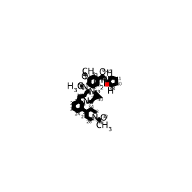 COc1cc(C(=O)N2C[C@H]3CC[C@@H]2[C@@H]3N)cc2nc(-c3cc4cccc(C5=CCN(C(C)=O)CC5)c4n3CC3CC3)n(C)c12